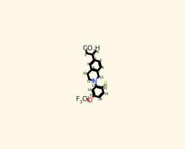 CC(CC(=O)O)c1ccc2c(c1)CCN(c1cc(OC(F)(F)F)ccc1F)C2